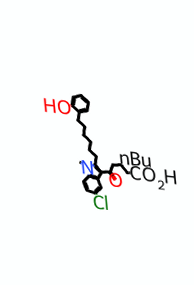 CCCCC(CC(=O)O)CC(=O)c1c(CCCCCCc2ccccc2O)n(C)c2ccc(Cl)cc12